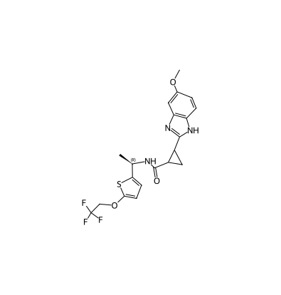 COc1ccc2[nH]c(C3CC3C(=O)N[C@H](C)c3ccc(OCC(F)(F)F)s3)nc2c1